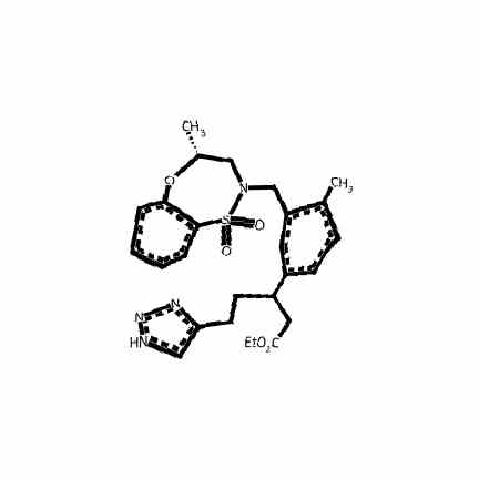 CCOC(=O)CC(CCc1c[nH]nn1)c1ccc(C)c(CN2C[C@@H](C)Oc3ccccc3S2(=O)=O)c1